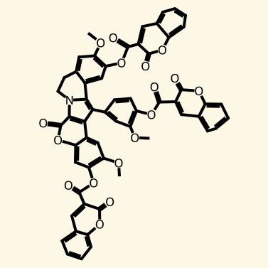 COc1cc(-c2c3n(c4c(=O)oc5cc(OC(=O)c6cc7ccccc7oc6=O)c(OC)cc5c24)CCc2cc(OC)c(OC(=O)c4cc5ccccc5oc4=O)cc2-3)ccc1OC(=O)c1cc2ccccc2oc1=O